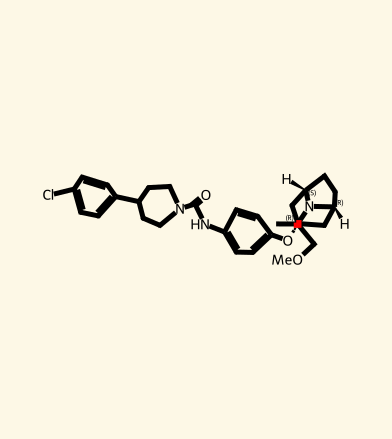 COCC(C)N1[C@@H]2CC[C@H]1C[C@@H](Oc1ccc(NC(=O)N3CCC(c4ccc(Cl)cc4)CC3)cc1)C2